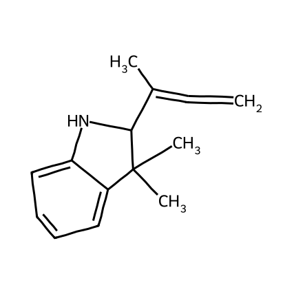 C=C=C(C)C1Nc2ccccc2C1(C)C